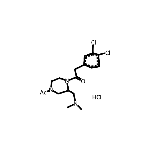 CC(=O)N1CCN(C(=O)Cc2ccc(Cl)c(Cl)c2)C(CN(C)C)C1.Cl